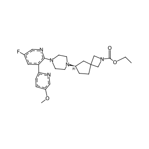 CCOC(=O)N1CC2(CC[C@@H](N3CCN(c4ncc(F)cc4-c4ccc(OC)cn4)CC3)C2)C1